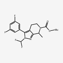 CC1c2nn(C(F)F)c(-c3cc(F)cc(F)c3)c2CCN1C(=O)OC(C)(C)C